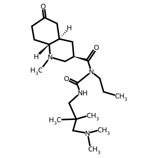 CCCN(C(=O)NCC(C)(C)CN(C)C)C(=O)[C@@H]1C[C@@H]2CC(=O)CC[C@H]2N(C)C1